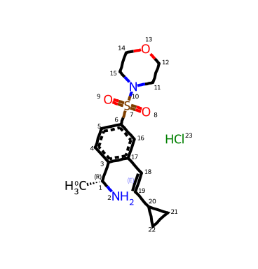 C[C@@H](N)c1ccc(S(=O)(=O)N2CCOCC2)cc1/C=C/C1CC1.Cl